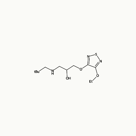 CCOc1nsnc1OCC(O)CNCC(C)(C)C